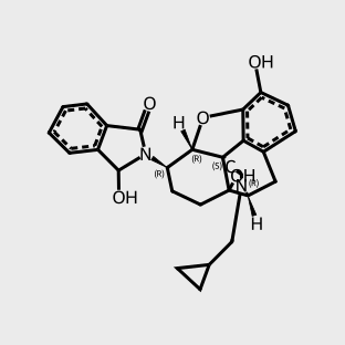 O=C1c2ccccc2C(O)N1[C@@H]1CCC2(O)[C@H]3Cc4ccc(O)c5c4[C@@]2(CCN3CC2CC2)[C@H]1O5